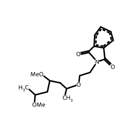 COC(C)CC(CC(C)OCCN1C(=O)c2ccccc2C1=O)OC